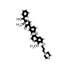 COc1c(OCCCN2CCOCC2)ccc2c(Oc3ccc(-c4cnc(C(O)c5ccccc5)n(C)c4=O)cc3F)ccnc12